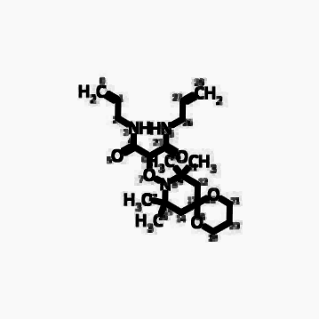 C=CCNC(=O)C(ON1C(C)(C)CC2(CC1(C)C)OCCCO2)C(=O)NCC=C